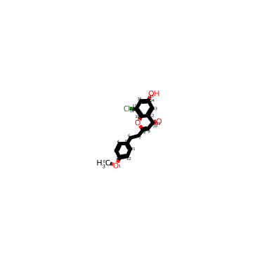 COc1ccc(CCc2cc(=O)c3cc(O)cc(Cl)c3o2)cc1